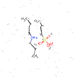 CCCNCCC.CCCS(=O)(=O)O